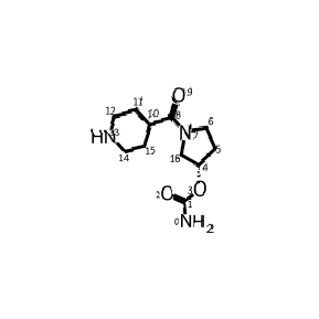 NC(=O)O[C@H]1CCN(C(=O)C2CCNCC2)C1